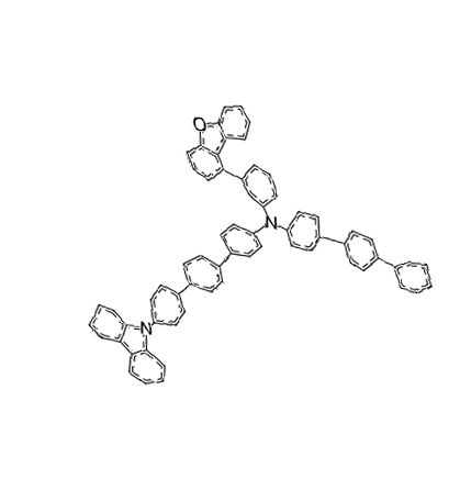 c1ccc(-c2ccc(-c3ccc(N(c4ccc(-c5ccc(-c6ccc(-n7c8ccccc8c8ccccc87)cc6)cc5)cc4)c4cccc(-c5cccc6oc7ccccc7c56)c4)cc3)cc2)cc1